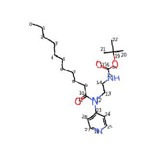 CCCCCCCCCCC(=O)N(CCNC(=O)OC(C)(C)C)c1ccncc1